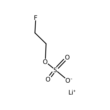 O=S(=O)([O-])OCCF.[Li+]